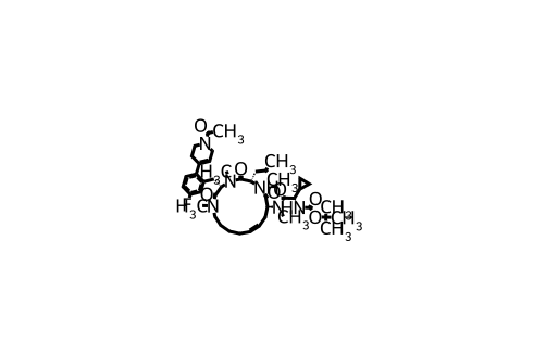 CC(=O)N1CC=C(c2ccc(F)cc2C[C@H]2C(=O)N(C)CCCCC=CC[C@H](N(C)C(=O)[C@@H](NC(=O)OC(C)(C)C)C3CC3)C(=O)N[C@@H](CC(C)C)C(=O)N2C)CC1